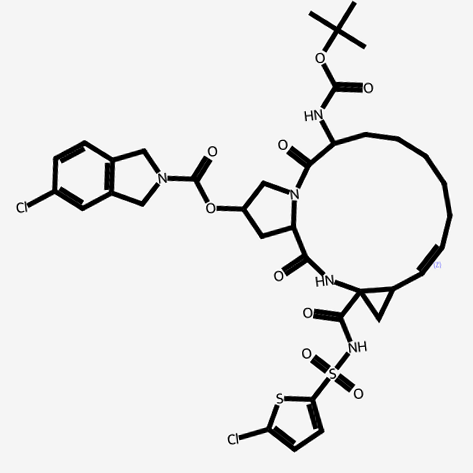 CC(C)(C)OC(=O)NC1CCCCC/C=C\C2CC2(C(=O)NS(=O)(=O)c2ccc(Cl)s2)NC(=O)C2CC(OC(=O)N3Cc4ccc(Cl)cc4C3)CN2C1=O